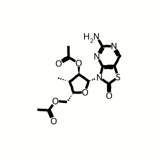 CC(=O)OC[C@H]1O[C@@H](n2c(=O)sc3cnc(N)nc32)[C@H](OC(C)=O)[C@H]1C